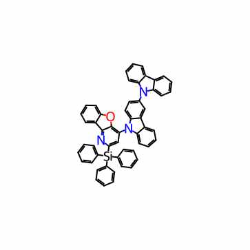 c1ccc([Si](c2ccccc2)(c2ccccc2)c2cc(-n3c4ccccc4c4cc(-n5c6ccccc6c6ccccc65)ccc43)c3oc4ccccc4c3n2)cc1